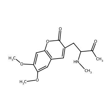 CNC(Cc1cc2cc(OC)c(OC)cc2oc1=O)C(C)=O